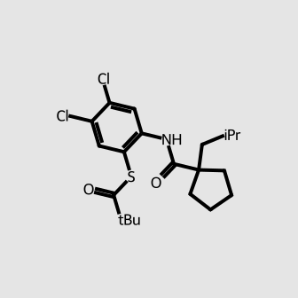 CC(C)CC1(C(=O)Nc2cc(Cl)c(Cl)cc2SC(=O)C(C)(C)C)CCCC1